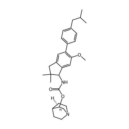 COc1cc2c(cc1-c1ccc(CC(C)C)cc1)CC(C)(C)C2NC(=O)O[C@H]1CN2CCC1CC2